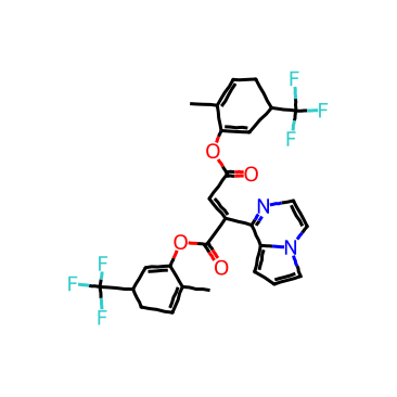 CC1=CCC(C(F)(F)F)C=C1OC(=O)/C=C(/C(=O)OC1=CC(C(F)(F)F)CC=C1C)c1nccn2cccc12